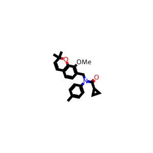 COc1c(CN(C(=O)C2CC2)c2ccc(C)cc2)ccc2c1OC(C)(C)C=C2